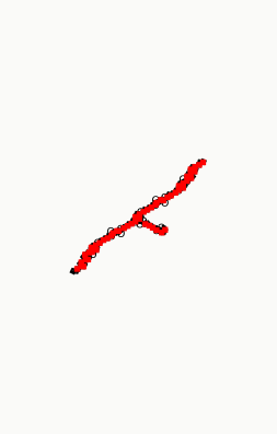 CCCCC[C@H]1CC[C@H](c2ccc(OC(=O)c3ccc(OCCCCCCOC(=O)CCC(=O)OCCCCCCOc4ccc(OCCCCCCOC(=O)CCC(=O)OCCCCCCOc5ccc(C(=O)Oc6ccc([C@H]7CC[C@H](CCCCC)CC7)cc6)cc5)c(C(=O)OCCCCCCOC5CCCCO5)c4)cc3)cc2)CC1